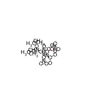 CC(C)(C)c1ccc2c(c1)c1cc(C(C)(C)C)ccc1n2-c1ccc2c(c1)N(c1ccccc1-c1ccccc1)c1cc(-c3cc4c5c(c3)Oc3ccccc3B5c3ccccc3O4)cc3c1B2c1ccc(-n2c4ccccc4c4ccccc42)cc1N3c1cc(-c2ccccc2)cc(-c2ccccc2)c1